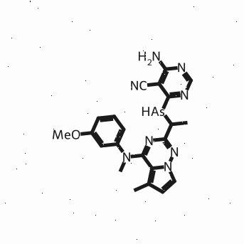 COc1cccc(N(C)c2nc(C(C)[AsH]c3ncnc(N)c3C#N)nn3ccc(C)c23)c1